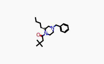 CCCC[C@H]1CN(Cc2ccccc2)CCN1C(=O)CC(C)(C)C